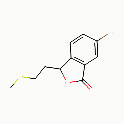 CSCCC1OC(=O)c2cc(Br)ccc21